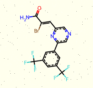 NC(=O)/C(Br)=C/c1cncc(-c2cc(C(F)(F)F)cc(C(F)(F)F)c2)n1